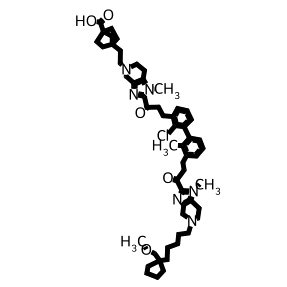 COCC1(CCCCCN2CCc3c(nc(C(=O)CCc4cccc(-c5cccc(CCC(=O)c6nc7c(n6C)CCN(CCC68CCC(C(=O)O)(CC6)C8)C7)c5Cl)c4C)n3C)C2)CCCC1